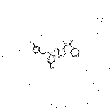 C[C@@H](C(=O)N1CCOCC1)N1CC[C@H](N(CC(N)=O)S(=O)(=O)CCc2ccc(Cl)s2)C1=O